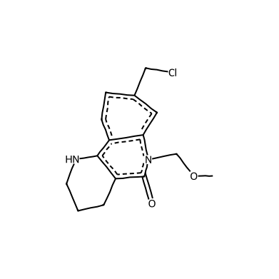 COCn1c(=O)c2c(c3ccc(CCl)cc31)NCCC2